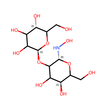 OCC1O[C@@H](OC2C(O)[C@H](O)C(CO)O[C@H]2NO)C(O)C(O)[C@@H]1O